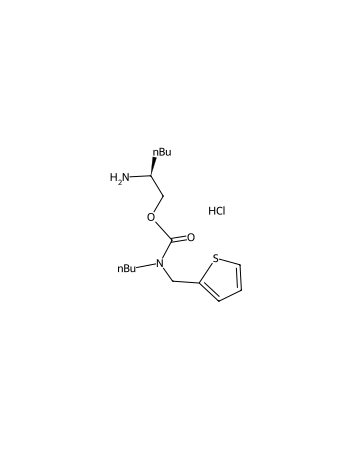 CCCC[C@H](N)COC(=O)N(CCCC)Cc1cccs1.Cl